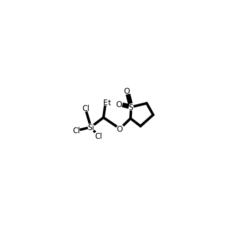 CCC(OC1CCCS1(=O)=O)[Si](Cl)(Cl)Cl